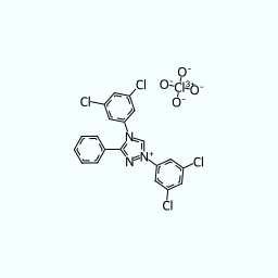 Clc1cc(Cl)cc(-n2c[n+](-c3cc(Cl)cc(Cl)c3)nc2-c2ccccc2)c1.[O-][Cl+3]([O-])([O-])[O-]